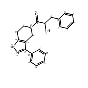 O=C(C(O)Cc1ccccc1)N1CCc2[nH]nc(-c3ccccc3)c2C1